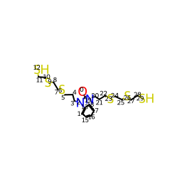 O=c1n(CCCSCCSCCS)c2ccccc2n1CCCSCCSCCS